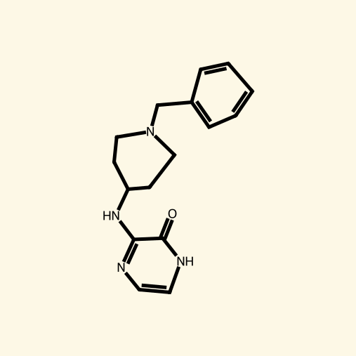 O=c1[nH]ccnc1NC1CCN(Cc2ccccc2)CC1